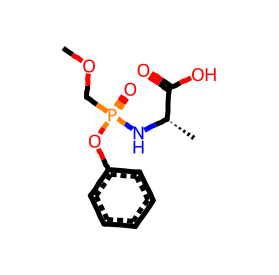 COCP(=O)(N[C@@H](C)C(=O)O)Oc1ccccc1